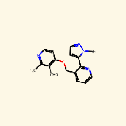 Cc1nccc(OCc2cccnc2-c2ccnn2C(C)C)c1C=O